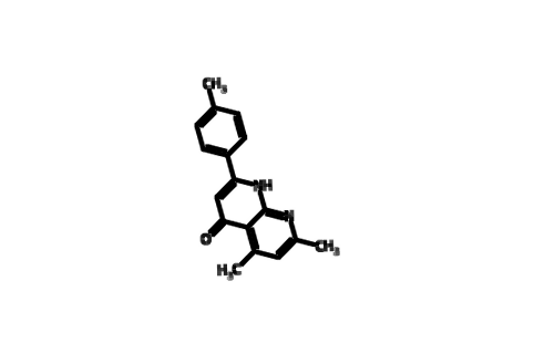 Cc1ccc(-c2cc(=O)c3c(C)cc(C)nc3[nH]2)cc1